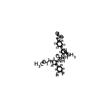 COCCN1C[C@@H](NC(=O)Nc2cc(-c3ccc(C[SH](=O)=O)cc3)nn2C)[C@H](c2ccc(F)c(F)c2)C1